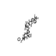 CN(C)C(=O)Oc1ccc2c(c1)CCN(C)C2CCOc1ccc([N+](=O)[O-])cc1Cl